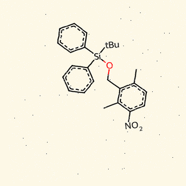 Cc1ccc([N+](=O)[O-])c(C)c1CO[Si](c1ccccc1)(c1ccccc1)C(C)(C)C